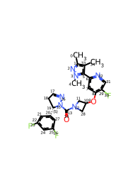 Cc1nn(C)c(-c2cc(OC3CN(C(=O)N4N=CC[C@H]4c4cc(F)cc(F)c4)C3)c(F)cn2)c1C